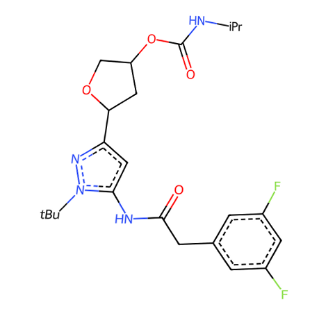 CC(C)NC(=O)OC1COC(c2cc(NC(=O)Cc3cc(F)cc(F)c3)n(C(C)(C)C)n2)C1